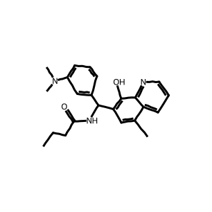 CCCC(=O)NC(c1cccc(N(C)C)c1)c1cc(C)c2cccnc2c1O